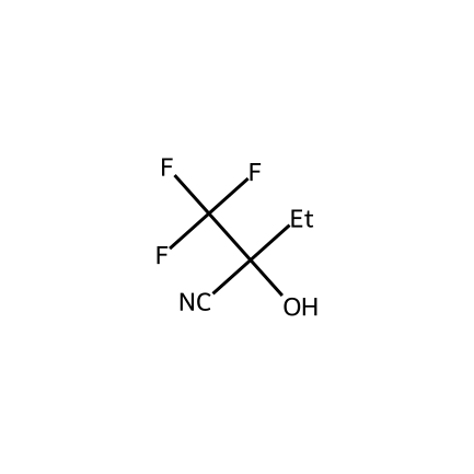 CCC(O)(C#N)C(F)(F)F